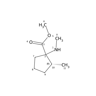 CNC1(C(=O)OC)CCC[C@H]1C